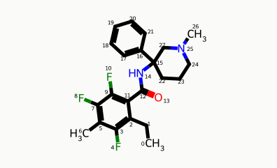 CCc1c(F)c(C)c(F)c(F)c1C(=O)NC1(c2ccccc2)CCCN(C)C1